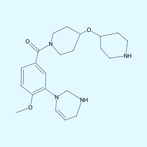 COc1ccc(C(=O)N2CCC(OC3CCNCC3)CC2)cc1N1C=CCNC1